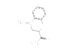 N#CN1CC(C(N)=O)Oc2ccccc21